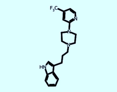 FC(F)(F)c1ccnc(N2CCN(CCCc3c[nH]c4ccccc34)CC2)c1